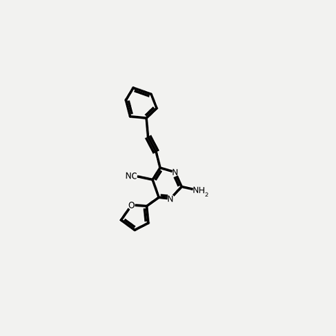 N#Cc1c(C#Cc2ccccc2)nc(N)nc1-c1ccco1